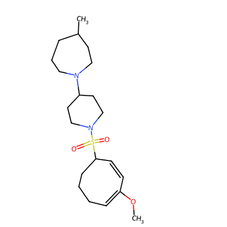 COC1=C/CCCC(S(=O)(=O)N2CCC(N3CCCC(C)CC3)CC2)/C=C\1